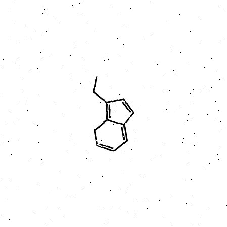 CCC1=C2CC=CC=C2C=C1